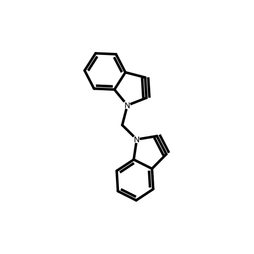 c1c2ccccc2n(Cn2c#cc3ccccc32)c#1